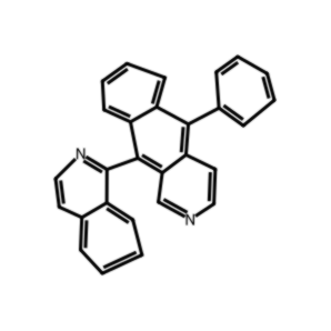 c1ccc(-c2c3ccccc3c(-c3nccc4ccccc34)c3cnccc23)cc1